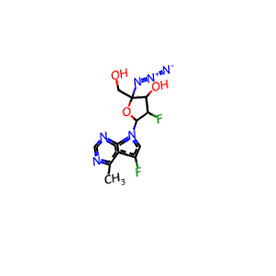 Cc1ncnc2c1c(F)cn2C1OC(CO)(N=[N+]=[N-])C(O)C1F